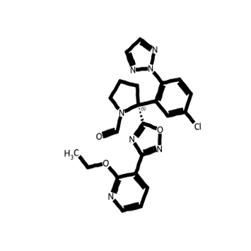 CCOc1ncccc1-c1noc([C@@]2(c3cc(Cl)ccc3-n3nccn3)CCCN2C=O)n1